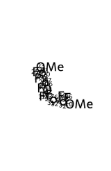 COc1ccc(-c2ccc(CC(F)(F)COc3ccc(-c4ccc(OC)c(F)c4F)cc3F)cc2)c(F)c1F